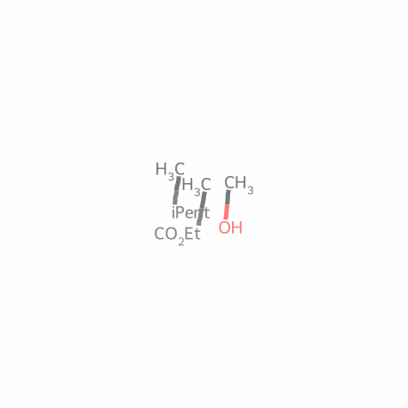 CCCC(C)C.CCOC(C)=O.CO